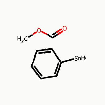 COC=O.[SnH][c]1ccccc1